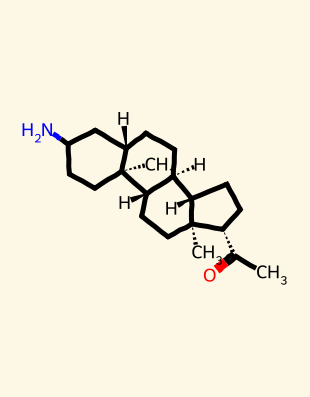 CC(=O)[C@H]1CC[C@H]2[C@@H]3CC[C@H]4CC(N)CC[C@]4(C)[C@H]3CC[C@]12C